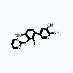 CC(C)(C)c1ccc(-c2cnc(N)c(C#N)c2)c(F)c1Oc1ncccn1